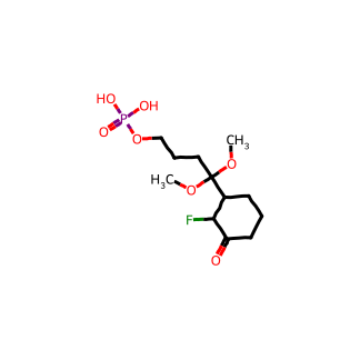 COC(CCCOP(=O)(O)O)(OC)C1CCCC(=O)C1F